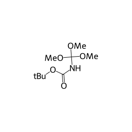 COC(NC(=O)OC(C)(C)C)(OC)OC